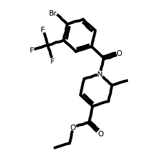 CCOC(=O)C1=CCN(C(=O)c2ccc(Br)c(C(F)(F)F)c2)C(C)C1